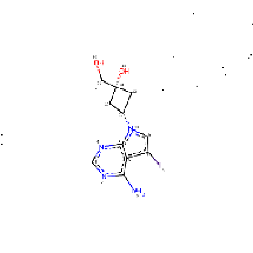 Nc1ncnc2c1c(I)cn2[C@H]1C[C@](O)(CO)C1